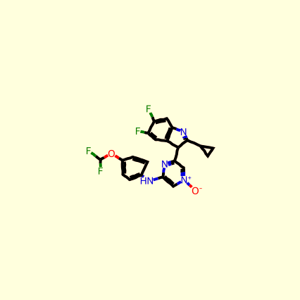 [O-][n+]1cc(Nc2ccc(OC(F)F)cc2)nc(C2C(C3CC3)=Nc3cc(F)c(F)cc32)c1